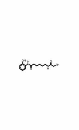 O=C(CS)NCCCCCC(=O)Nc1ccccc1O